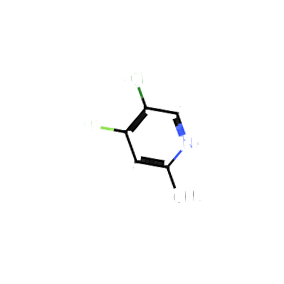 Cc1cc(F)c(Cl)cn1